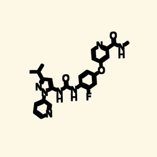 CNC(=O)c1cc(Oc2ccc(NC(=O)Nc3cc(C(C)C)nn3-c3cccnc3)c(F)c2)ccn1